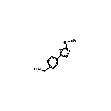 CCCNc1nc(-c2ccc(CN)cc2)cs1